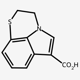 O=C(O)c1cn2c3c(cccc13)SCC2